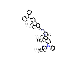 C=C/C=C\C(=C/C)N(c1ccccc1)c1ccc2c(c1)C(C)(C)/C(=C/C(=C\CC)/C=C/c1ccc3c(c1)C(C)(C)c1cc(C(C4=CC=CCC4)C4C=CC=CC4)ccc1-3)C2